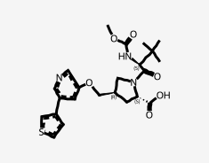 COC(=O)N[C@H](C(=O)N1C[C@H](COc2cncc(-c3ccsc3)c2)C[C@H]1C(=O)O)C(C)(C)C